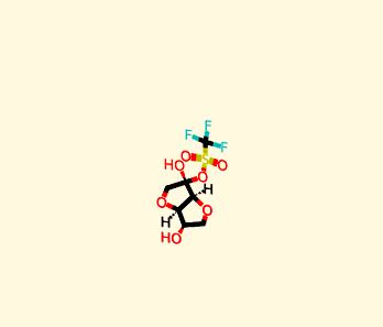 O=S(=O)(O[C@@]1(O)CO[C@@H]2[C@H](O)CO[C@@H]21)C(F)(F)F